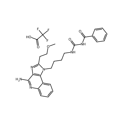 COCCc1nc2c(N)nc3ccccc3c2n1CCCCNC(=O)NC(=O)c1ccccc1.O=C(O)C(F)(F)F